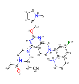 C=CC(=O)N1CCN(c2nc(OC[C@@H]3CCCN3C)nc3c2CCN(c2cc(F)cc4c2N(C)CCC4)C3)C[C@@H]1CC#N